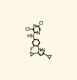 Fc1cc(Nc2ncc(Cl)nc2Cl)ccc1-n1nc(C2CC2)cc1C1CC1